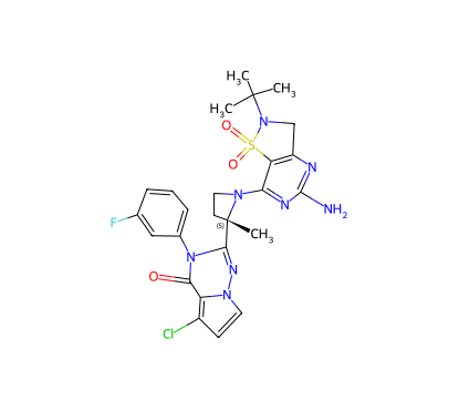 CC(C)(C)N1Cc2nc(N)nc(N3CC[C@@]3(C)c3nn4ccc(Cl)c4c(=O)n3-c3cccc(F)c3)c2S1(=O)=O